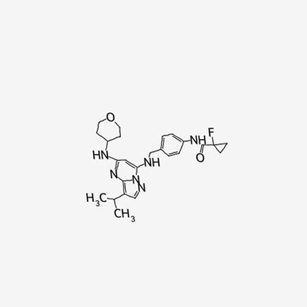 CC(C)c1cnn2c(NCc3ccc(NC(=O)C4(F)CC4)cc3)cc(NC3CCOCC3)nc12